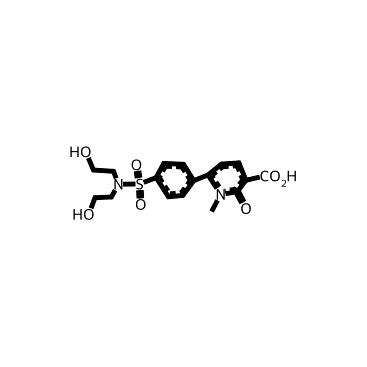 Cn1c(-c2ccc(S(=O)(=O)N(CCO)CCO)cc2)ccc(C(=O)O)c1=O